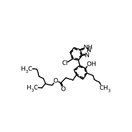 CCCCc1cc(CCC(=O)OCC(CC)CCCC)cc(-c2c(Cl)ccc3[nH]nnc23)c1O